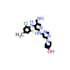 Cc1cc(F)c(Nc2cc(Nc3cc(N4CC5CC4CC5O)ncn3)ncc2C=N)c(Cl)c1